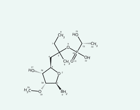 B[C@@H]1O[C@H](CC(C)(CC)OP(=O)(O)[C@@H](C)O)[C@@H](O)[C@H]1OC